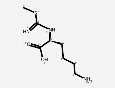 CSC(=N)N[C@@H](CCCCN)C(=O)O